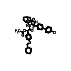 NC1CC2CCC(C1)N2C(=O)[C@@H](NC(=O)[C@H](OC(=O)C(F)(F)F)c1ccc(OCC2CCCCC2)cc1)C(F)(F)c1ccc(-c2ccc(Cl)cc2)cc1